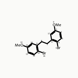 COc1ccc(Br)c(CCc2cc(OC)ccc2Br)c1